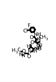 Cc1nnc(C(=O)N2C[C@H]3COc4c(cn(C)c4C(=O)Nc4ccc(F)c(Cl)c4)S(=O)(=O)N[C@H]3C2)o1